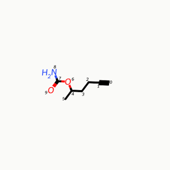 C#CCCC(C)OC(N)=O